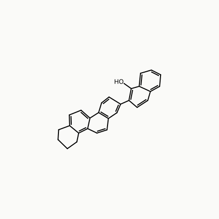 Oc1c(-c2ccc3c(ccc4c5c(ccc43)CCCC5)c2)ccc2ccccc12